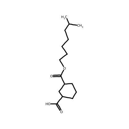 CC(C)CCCCCOC(=O)C1CCCC(C(=O)O)C1